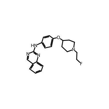 FCCN1CCC(Oc2ccc(Nc3ncc4ccccc4n3)cc2)CC1